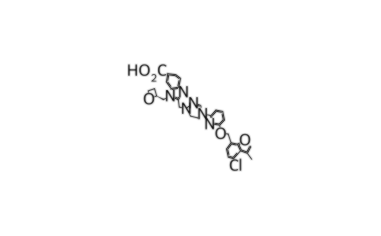 Cc1coc2c(COc3cccc(N4C=NN(Cc5nc6ccc(C(=O)O)cc6n5C[C@@H]5CCO5)CC4)n3)ccc(Cl)c12